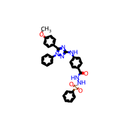 COc1ccc(-c2nc(Nc3ccc(C(=O)NNS(=O)(=O)c4ccccc4)cc3)nn2-c2ccccc2)cc1